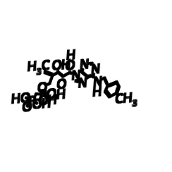 C/C=C(/COP(=O)(O)CP(=O)(O)O)[C@@H](O)[C@@H](O)[C@@H](O)n1cnc2c(NCc3ccc(C)cc3)ncnc21